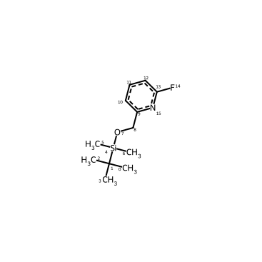 CC(C)(C)[Si](C)(C)OCc1cccc(F)n1